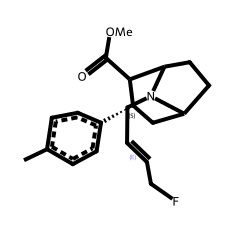 COC(=O)C1C2CCC(C[C@@H]1c1ccc(C)cc1)N2C/C=C/CF